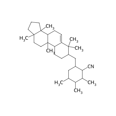 CC1CC(CC2CCC3C(=CCC4C3(C)CCC3(C)CCCC43C)C2(C)C)C(C#N)C(C)C1C